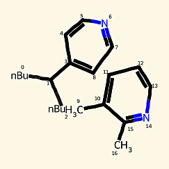 CCCCC(CCCC)c1ccncc1.Cc1cccnc1C